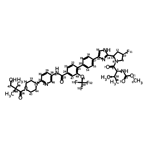 COC(=O)N[C@H](C(=O)N1C[C@H](F)CC1c1nc(-c2ccc(-c3ccc(C(=O)Nc4ccc(N5CCN(C(=O)C(C)(C)CO)CC5)nc4)cc3OC(F)(F)F)cc2)c[nH]1)C(C)C